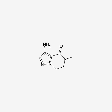 CN1CCn2ncc(N)c2C1=O